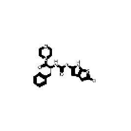 O=C(N[C@@H](Cc1ccccc1)C(=O)N1CCOCC1)Oc1cc2cc(Cl)sc2[nH]1